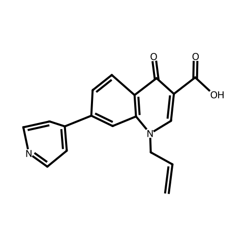 C=CCn1cc(C(=O)O)c(=O)c2ccc(-c3ccncc3)cc21